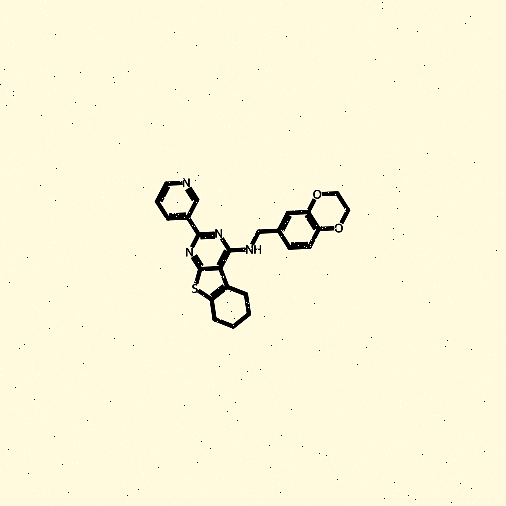 c1cncc(-c2nc(NCc3ccc4c(c3)OCCO4)c3c4c(sc3n2)CCCC4)c1